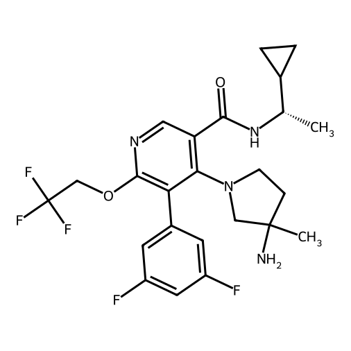 C[C@H](NC(=O)c1cnc(OCC(F)(F)F)c(-c2cc(F)cc(F)c2)c1N1CCC(C)(N)C1)C1CC1